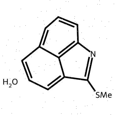 CSC1=Nc2cccc3cccc1c23.O